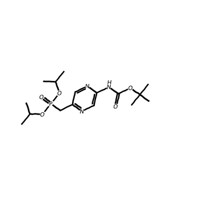 CC(C)OP(=O)(Cc1cnc(NC(=O)OC(C)(C)C)cn1)OC(C)C